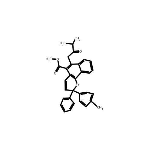 COC(=O)c1c2c(c3ccccc3c1CC(=O)C(C)C)OC(c1ccccc1)(c1ccc(C)cc1)C=C2